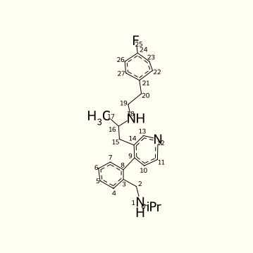 CC(C)NCc1ccccc1-c1ccncc1CC(C)NCCc1ccc(F)cc1